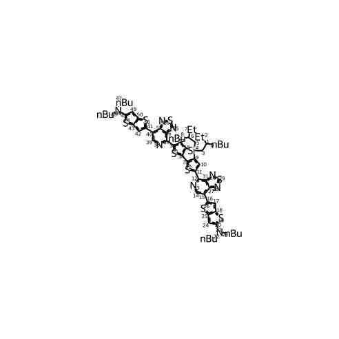 CCCCC(CC)C[Si]1(CC(CC)CCCC)c2cc(-c3ncc(-c4cc5sc(N(CCCC)CCCC)cc5s4)c4nsnc34)sc2-c2sc(-c3ncc(-c4cc5sc(N(CCCC)CCCC)cc5s4)c4nsnc34)cc21